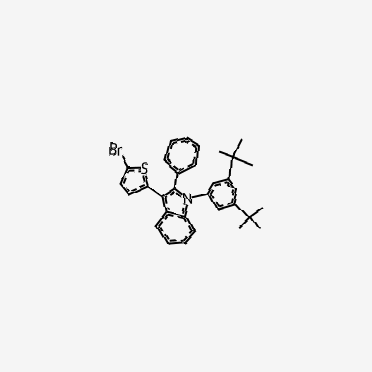 CC(C)(C)c1cc(-n2c(-c3ccccc3)c(-c3ccc(Br)s3)c3ccccc32)cc(C(C)(C)C)c1